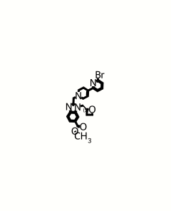 COC(=O)c1ccc2nc(CN3CC=C(c4cccc(Br)n4)CC3)n(C[C@@H]3CCO3)c2c1